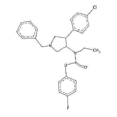 CCN(C(=O)Oc1ccc(F)cc1)C1CN(Cc2ccccc2)CC1c1ccc(Cl)cc1